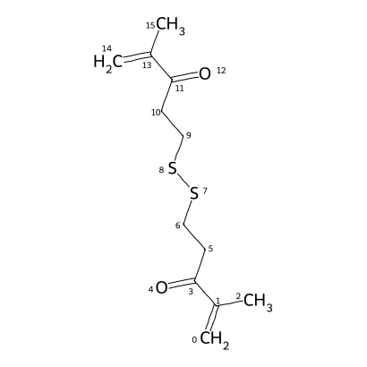 C=C(C)C(=O)CCSSCCC(=O)C(=C)C